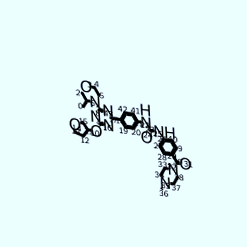 CC1COCCN1c1nc(OC2CCOC2)nc(-c2ccc(NC(=O)Nc3ccc(C(=O)N4CCN(C)CC4)cc3)cc2)n1